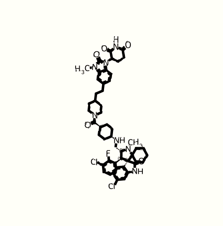 CN1[C@@H](CN[C@H]2CC[C@H](C(=O)N3CCC(CCc4ccc5c(c4)n(C)c(=O)n5C4CCC(=O)NC4=O)CC3)CC2)[C@H](c2cccc(Cl)c2F)[C@]2(C(=O)Nc3cc(Cl)ccc32)C12CCCCC2